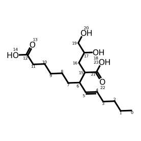 CCCCC=CC(CCCCCC(=O)O)C(CC(O)CO)C(=O)O